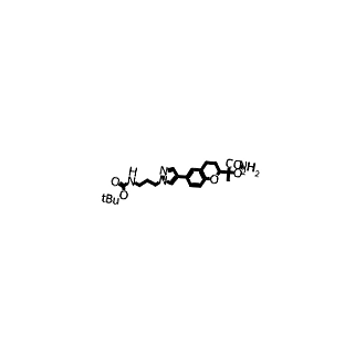 CC(C)(C)OC(=O)NCCCn1cc(-c2ccc3c(c2)CCC(C(C)(ON)C(=O)O)O3)cn1